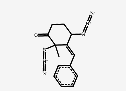 CC1(N=[N+]=[N-])C(=O)CCC(N=[N+]=[N-])C1=Cc1ccccc1